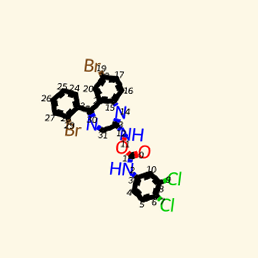 O=C(Nc1ccc(Cl)c(Cl)c1)ONC1=Nc2ccc(Br)cc2C(c2ccccc2Br)=NC1